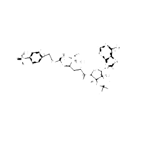 CC1(C)O[C@@H]2[C@H](O1)[C@@H](C(O)CCC(NC(=O)OCc1ccc(P(=O)(O)O)cc1)P(=O)(O)O)O[C@H]2n1cnc2c(N)ncnc21